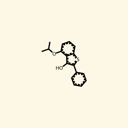 CC(C)Oc1cccc2sc(-c3ccccc3)c(O)c12